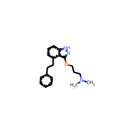 CN(C)CCCOc1n[nH]c2cccc(CCc3ccccc3)c12